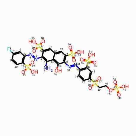 Nc1c(/N=N/c2cc(F)ccc2S(=O)(=O)O)c(S(=O)(=O)O)cc2cc(S(=O)(=O)O)c(/N=N/c3ccc(S(=O)(=O)CCOS(=O)(=O)O)cc3S(=O)(=O)O)c(O)c12